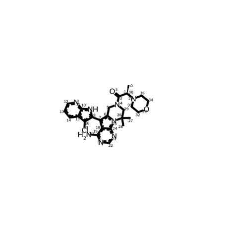 C[C@H](C(=O)N1Cc2c(-c3[nH]c4ncccc4c3Cl)c3c(N)ncnc3n2C(C)(C)C1)N1CCOCC1